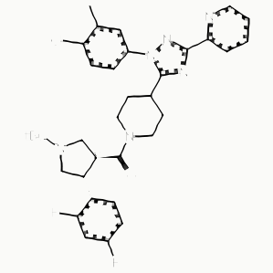 Cc1cc(-n2nc(-c3ccccn3)nc2C2CCN(C(=O)[C@@H]3CN(C(C)(C)C)C[C@H]3c3ccc(F)cc3F)CC2)ccc1Cl